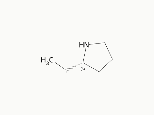 C[CH][C@H]1CCCN1